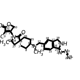 CC1=C(N2C(=O)[C@]3(CC[C@H](N(C)Cc4ccc5c(c4)CN/C5=N\N=N)CC3)C[C@@H]2C)COC1=O